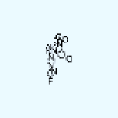 CCC1c2nnc(N3CCN(c4ccc(F)cn4)CC3)n2-c2ccc(Cl)cc2CN1C(=O)OC